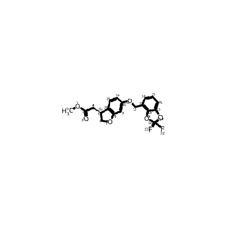 COC(=O)C[C@@H]1COc2cc(OCc3cccc4c3OC(F)(F)O4)ccc21